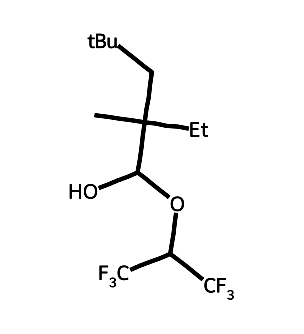 CCC(C)(CC(C)(C)C)C(O)OC(C(F)(F)F)C(F)(F)F